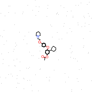 CC(=O)Oc1ccc(Oc2ccc(OCCN3CCCCC3)cc2)c(C2CCCCC2)c1